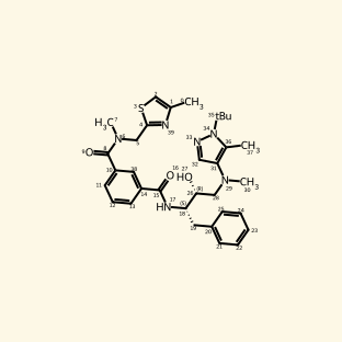 Cc1csc(CN(C)C(=O)c2cccc(C(=O)N[C@@H](Cc3ccccc3)[C@H](O)CN(C)c3cnn(C(C)(C)C)c3C)c2)n1